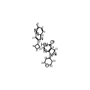 Cc1ccc2nc([C@@H]3CC[C@H]3c3nc4c(cnn4C4CCOCC4)c(=O)[nH]3)cn2n1